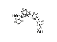 OCCN1CCN(Cc2ccc(-c3cc4ncnc(NC(CO)c5ccccc5)c4s3)cn2)CC1